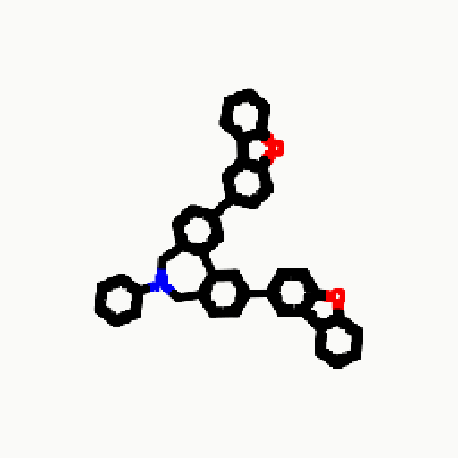 c1ccc(N2Cc3ccc(-c4ccc5oc6ccccc6c5c4)cc3-c3cc(-c4ccc5oc6ccccc6c5c4)ccc3C2)cc1